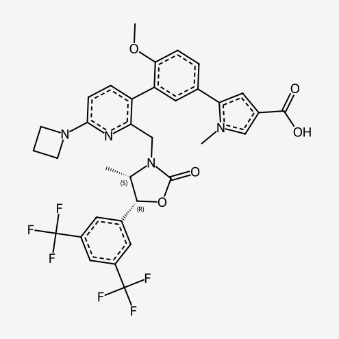 COc1ccc(-c2cc(C(=O)O)cn2C)cc1-c1ccc(N2CCC2)nc1CN1C(=O)O[C@H](c2cc(C(F)(F)F)cc(C(F)(F)F)c2)[C@@H]1C